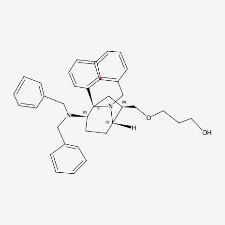 OCCCOC[C@@H]1C[C@@]2(c3ccccc3)[C@H](N(Cc3ccccc3)Cc3ccccc3)CC[C@@H]1N2Cc1ccccc1